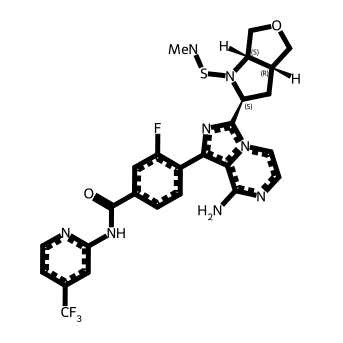 CNSN1[C@@H]2COC[C@@H]2C[C@H]1c1nc(-c2ccc(C(=O)Nc3cc(C(F)(F)F)ccn3)cc2F)c2c(N)nccn12